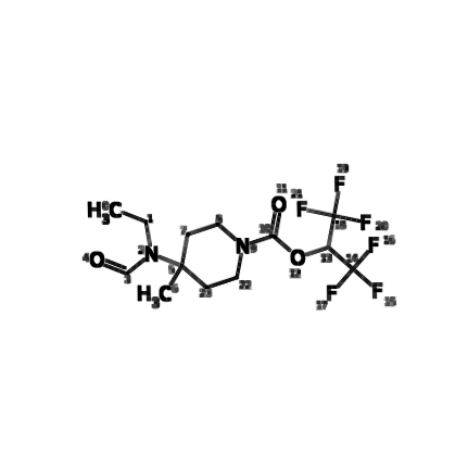 CCN(C=O)C1(C)CCN(C(=O)OC(C(F)(F)F)C(F)(F)F)CC1